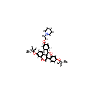 CC(C)(C)[Si](C)(C)Oc1ccc2c(c1)OC(c1ccc(OCCN3CCCCC3)cc1)C1=C2COc2cc(O[Si](C)(C)C(C)(C)C)ccc21